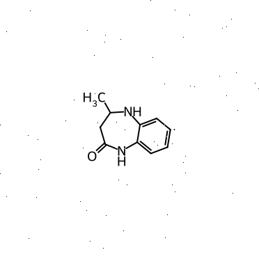 CC1CC(=O)Nc2cc[c]cc2N1